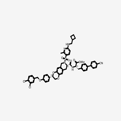 COC(=O)[C@H](Cc1ccc(-c2ccc(C#N)cc2)cc1)NC(=O)[C@@H]1Cc2cc3c(cc2CN1S(=O)(=O)c1ccc(NCC2CCC2)nc1C)O[C@@H](c1ccc(OCc2ccc(Cl)c(Cl)c2)cc1)CO3